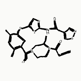 C=CC(=O)N1CCN(C(=O)c2cc(Sc3cnc(NC(=O)c4cnsc4)s3)c(C)cc2C)CC1C